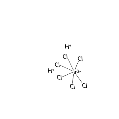 [Cl][Ir-2]([Cl])([Cl])([Cl])([Cl])[Cl].[H+].[H+]